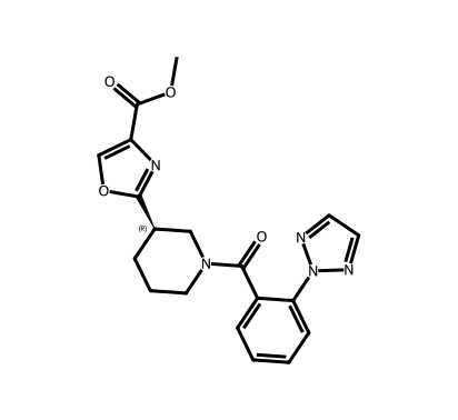 COC(=O)c1coc([C@@H]2CCCN(C(=O)c3ccccc3-n3nccn3)C2)n1